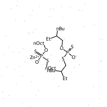 CCCCC(CC)COP([O-])(=S)SCC(CC)CCCC.CCCCCCCCOP([O-])(=S)SCCCCCCCC.[Zn+2]